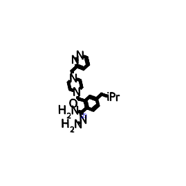 CC(C)Cc1ccc(/C(N)=N/N)c(C(=O)N2CCN(Cc3cccnn3)CC2)c1